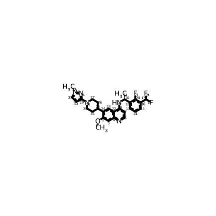 COc1cc2nccc(N[C@H](C)c3cccc(C(F)F)c3F)c2cc1C1CCN(c2ccn(C)n2)CC1